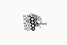 C=C(N)C1=C(O)[C@@H](N(C)C)[C@@H]2[C@@H](CC(=O)CCCCC)[C@H]3C(=C(C)[C@]2(O)C1=C)C(=C)c1c(C)cccc1[C@@H]3C